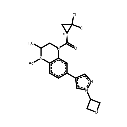 CC(=O)N1c2ccc(-c3cnn(C4COC4)c3)cc2N(C(=O)[C@H]2CC2(Cl)Cl)CC1C